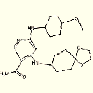 COC1CCC(Nc2ncc(C(N)=O)c(NC3CCC4(CC3)OCCO4)n2)CC1